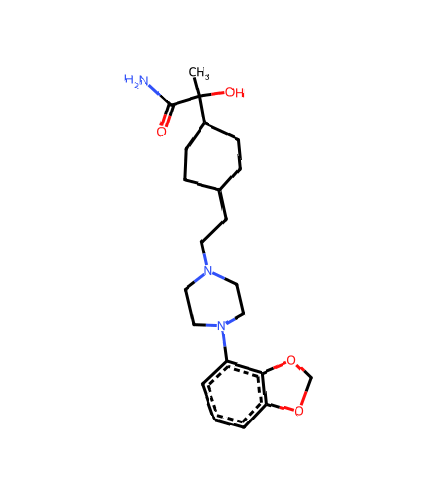 CC(O)(C(N)=O)C1CCC(CCN2CCN(c3cccc4c3OCO4)CC2)CC1